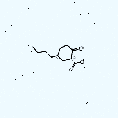 CCCC[C@H]1CCC(=O)[C@H](C(=O)Cl)C1